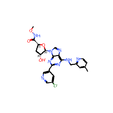 CONC(=O)[C@@H]1C[C@@H](O)[C@H](n2cnc3c(NCc4cc(C)ccn4)nc(-c4cncc(Cl)c4)nc32)O1